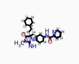 CN1C(=N)N[C@](CCC2CCCCC2)(C[C@H]2CCCC(NC(=O)c3ccccn3)C2)C1=O